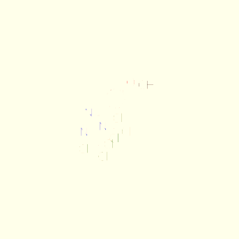 COc1ccc(C2=NC=NC(C(Cl)(Cl)Cl)N2C(Cl)(Cl)Cl)cc1